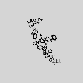 CCOC(=O)NC(C(=O)N1CCC[C@H]1c1nc2cc([C@H]3CC[C@H](c4ccc5[nH]c([C@@H]6CCCN6C(=O)[C@@H](NC(=O)OCC)C(C)C)nc5c4)N3c3cc(F)c(N4CCC(c5ccccc5)CC4)c(F)c3)ccc2[nH]1)C(C)C